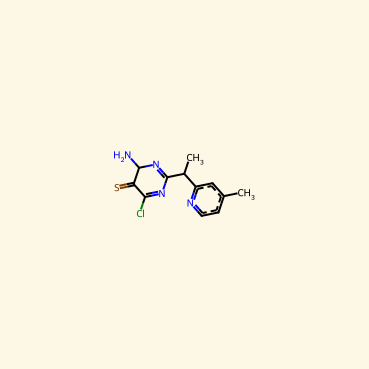 Cc1ccnc(C(C)C2=NC(N)C(=S)C(Cl)=N2)c1